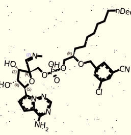 CCCCCCCCCCCCCCCCC[C@H](COP(=O)(O)OC[C@@]1(/C=N\C)O[C@@H](c2ccc3c(N)ncnn23)[C@H](O)[C@@H]1O)OCc1cc(Cl)cc(C#N)c1